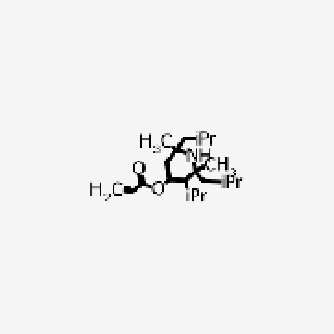 C=CC(=O)OC1CC(C)(CC(C)C)NC(C)(CC(C)C)C1C(C)C